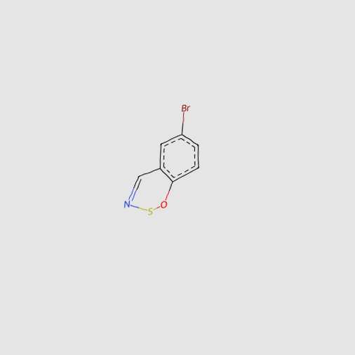 Brc1ccc2c(c1)C=NSO2